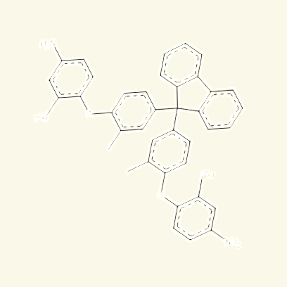 Cc1cc(C2(c3ccc(Oc4ccc(N)cc4C(C)(C)C)c(C)c3)c3ccccc3-c3ccccc32)ccc1Oc1ccc(N)cc1C(C)(C)C